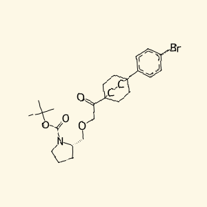 CC(C)(C)OC(=O)N1CCC[C@H]1COCC(=O)C12CCC(c3ccc(Br)cc3)(CC1)CC2